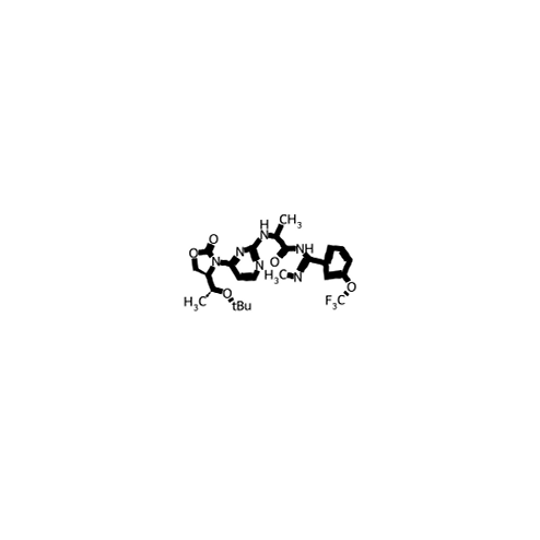 C/N=C(\NC(=O)C(C)Nc1nccc(N2C(=O)OC[C@@H]2[C@@H](C)OC(C)(C)C)n1)c1cccc(OC(F)(F)F)c1